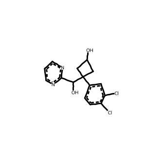 OC1CC(c2ccc(Cl)c(Cl)c2)(C(O)c2ncccn2)C1